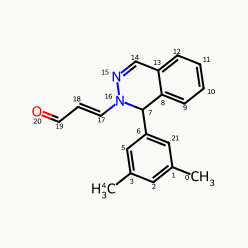 Cc1cc(C)cc(C2c3ccccc3C=NN2C=CC=O)c1